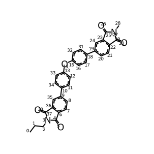 CCCN1C(=O)c2ccc(-c3ccc(Oc4ccc(-c5ccc6c(c5)C(=O)N(C)C6=O)cc4)cc3)cc2C1=O